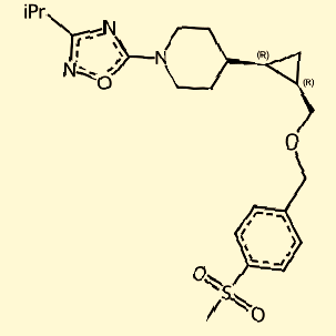 CC(C)c1noc(N2CCC([C@H]3C[C@H]3COCc3ccc(S(C)(=O)=O)cc3)CC2)n1